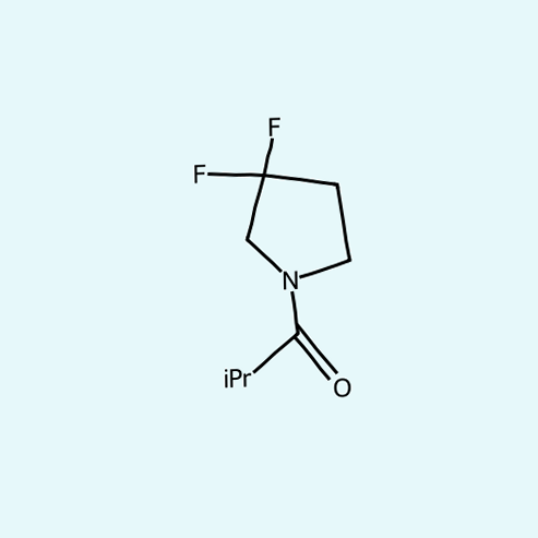 CC(C)C(=O)N1CCC(F)(F)C1